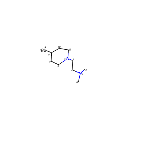 CN(C)CCN1CCC(C(C)(C)C)CC1